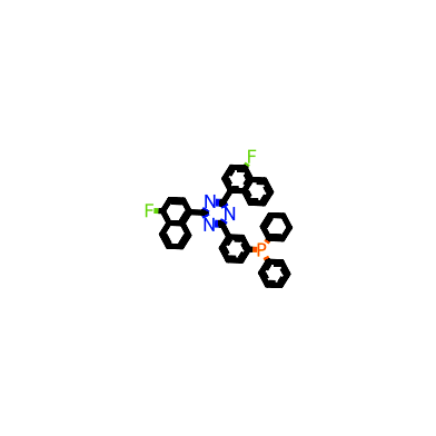 Fc1ccc(-c2nc(C3=C4C=CC=CC4C(F)C=C3)nc(-c3cccc(P(C4=CCCC=C4)c4ccccc4)c3)n2)c2ccccc12